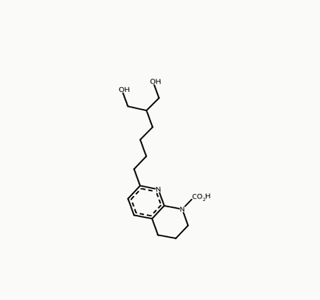 O=C(O)N1CCCc2ccc(CCCCC(CO)CO)nc21